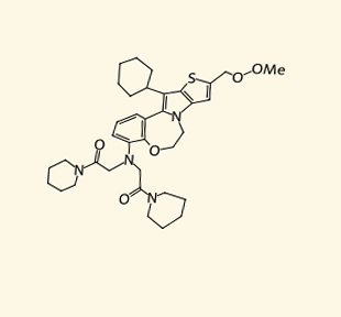 COOCc1cc2c(s1)c(C1CCCCC1)c1n2CCOc2c-1cccc2N(CC(=O)N1CCCCC1)CC(=O)N1CCCCC1